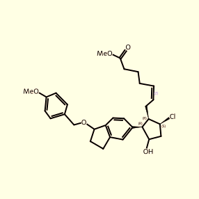 COC(=O)CCC/C=C\C[C@@H]1[C@H](c2ccc3c(c2)CCC3OCc2ccc(OC)cc2)C(O)C[C@@H]1Cl